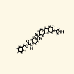 O=C(NC1CCN(S(=O)(=O)C2CCN(CC3CCN(C4CNC4)CC3)CC2)CC1)OCc1ccccc1